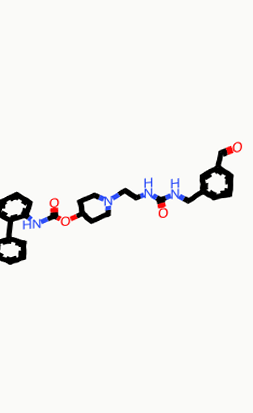 O=Cc1cccc(CNC(=O)NCCN2CCC(OC(=O)Nc3ccccc3-c3ccccc3)CC2)c1